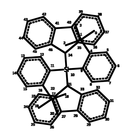 CC(C)(C)c1ccccc1[Si](c1ccccc1C(C)(C)C)(C1c2ccccc2-c2ccccc21)C1c2ccccc2-c2ccccc21